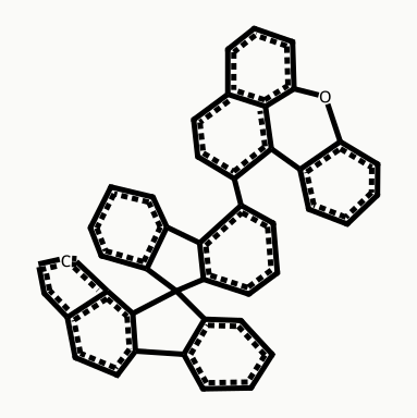 c1ccc2c(c1)Oc1cccc3ccc(-c4cccc5c4-c4ccccc4C54c5ccccc5-c5ccc6ccccc6c54)c-2c13